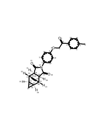 Cc1ccc(C(=O)COc2ccc(N3C(=O)[C@@H]4[C@@H]5C=C[C@@H]([C@H]6C[C@@H]56)[C@@H]4C3=O)cc2)cc1